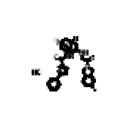 Cl.O=C(NC12C[C@@H]3C[C@@H](CC(NCC(=O)N4Cc5ccc(F)cc5C4)(C3)C1)C2)c1ccc(-c2ccccc2)s1